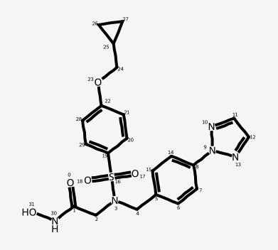 O=C(CN(Cc1ccc(-n2nccn2)cc1)S(=O)(=O)c1ccc(OCC2CC2)cc1)NO